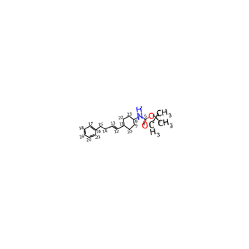 CC(C)(C)OC(=O)NC1CCC(/C=C/CCc2ccccc2)CC1